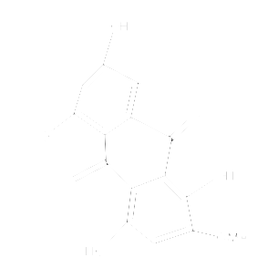 COc1cc(O)c2c(c1O)C(=O)c1cc(C)cc(O)c1C2=O